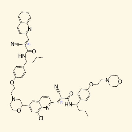 CCCC(NC(=O)/C(C#N)=C/c1ccc2cc(C3CN(CCOc4ccc(C(CCC)NC(=O)/C(C#N)=C/c5ccc6ccccc6n5)cc4)CCO3)cc(Cl)c2n1)c1ccc(OCCN2CCOCC2)cc1